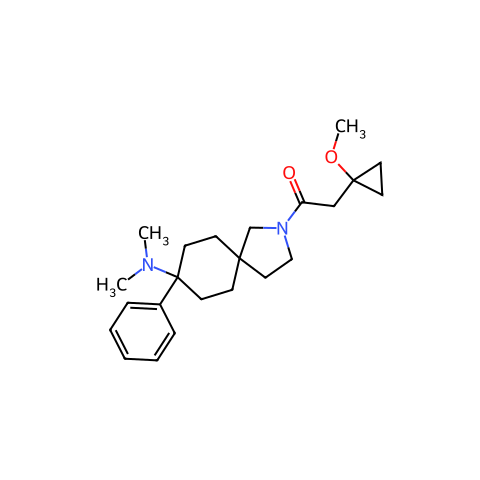 COC1(CC(=O)N2CCC3(CCC(c4ccccc4)(N(C)C)CC3)C2)CC1